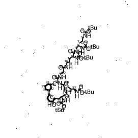 CC(C)(C)OC(=O)NCCC[C@@H](CNC(=O)[C@H](CCCNC(=O)CCNC(=O)[C@@H]1Cc2cccc(c2)-c2ccc(O)c(c2)C[C@H](NC(=O)OC(C)(C)C)C(=O)N[C@@H](CCCNC(=O)OC(C)(C)C)C(=O)N1)NC(=O)OC(C)(C)C)NC(=O)OC(C)(C)C